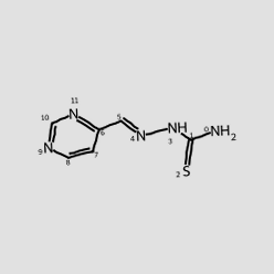 NC(=S)N/N=C/c1ccncn1